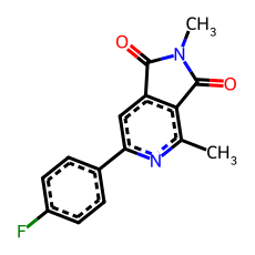 Cc1nc(-c2ccc(F)cc2)cc2c1C(=O)N(C)C2=O